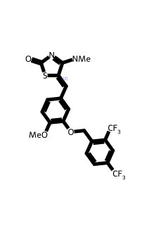 CNC1=NC(=O)S/C1=C\c1ccc(OC)c(OCc2ccc(C(F)(F)F)cc2C(F)(F)F)c1